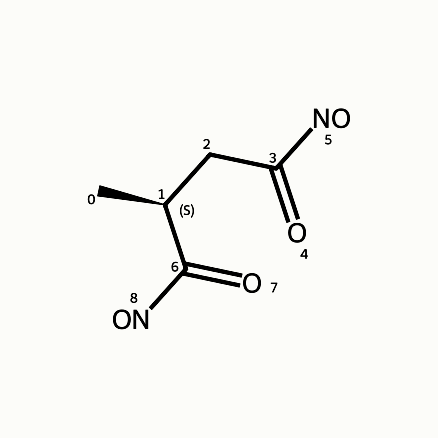 C[C@@H](CC(=O)N=O)C(=O)N=O